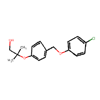 CC(C)(CO)Oc1ccc(COc2ccc(Cl)cc2)cc1